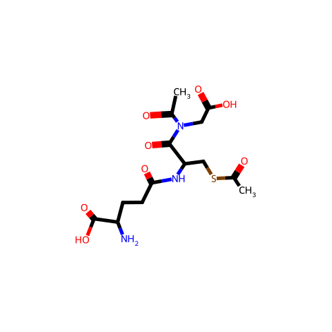 CC(=O)SCC(NC(=O)CCC(N)C(=O)O)C(=O)N(CC(=O)O)C(C)=O